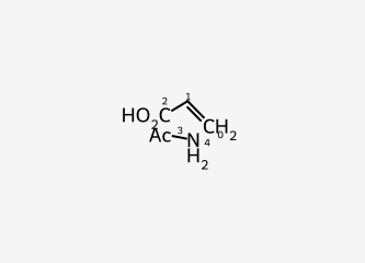 C=CC(=O)O.CC(N)=O